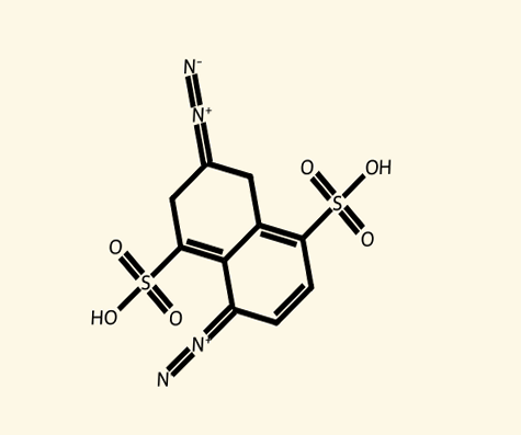 [N-]=[N+]=C1CC2=C(S(=O)(=O)O)C=CC(=[N+]=[N-])C2=C(S(=O)(=O)O)C1